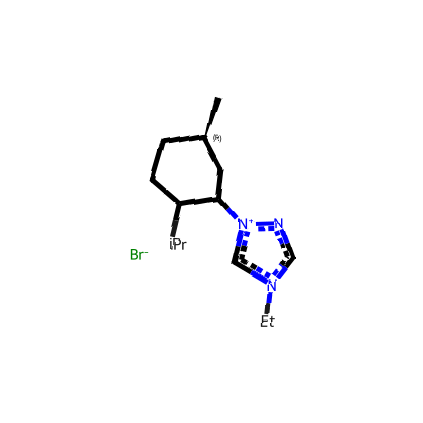 CCn1cn[n+](C2C[C@H](C)CCC2C(C)C)c1.[Br-]